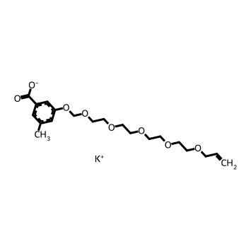 C=CCOCCOCCOCCOCCOCOc1cc(C)cc(C(=O)[O-])c1.[K+]